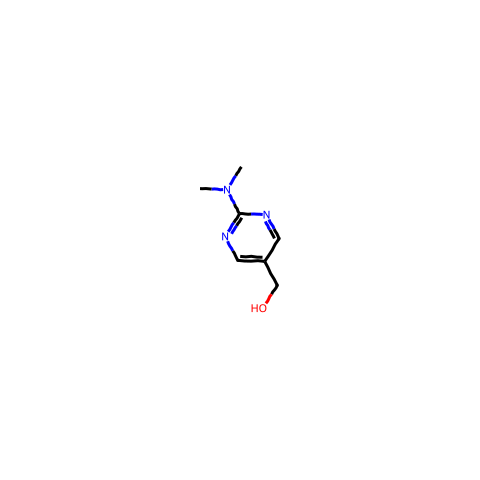 CN(C)c1ncc(CO)cn1